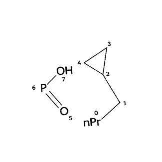 CCCCC1CC1.O=PO